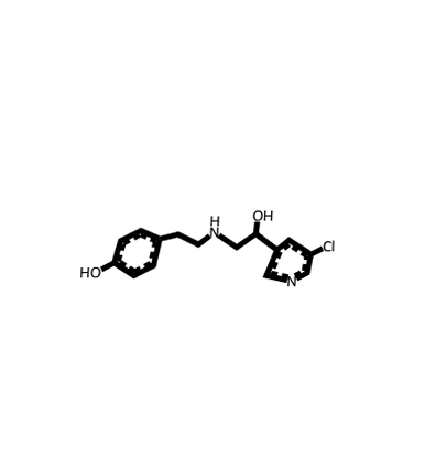 Oc1ccc(CCNCC(O)c2cncc(Cl)c2)cc1